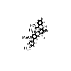 COc1cc(Nc2ncc(Br)c(Nc3cc(F)ccc3CC(C)O)n2)c(C)cc1N1CCN(C)CC1